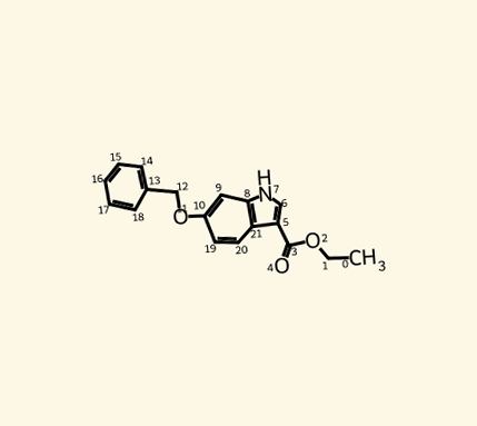 CCOC(=O)c1c[nH]c2cc(OCc3ccccc3)ccc12